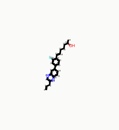 C=CCc1cnc2cc(-c3ccc(/C=C/CCCC(C)O)c(F)c3)ccc2n1